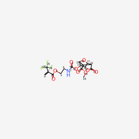 C=C(C(=O)OCCNC(=O)OC1C2OC(=O)C3C2OC1C3C(=O)OC)C(F)(F)F